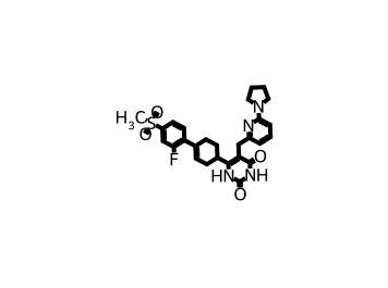 CS(=O)(=O)c1ccc(C2=CCC(c3[nH]c(=O)[nH]c(=O)c3Cc3cccc(N4CCCC4)n3)CC2)c(F)c1